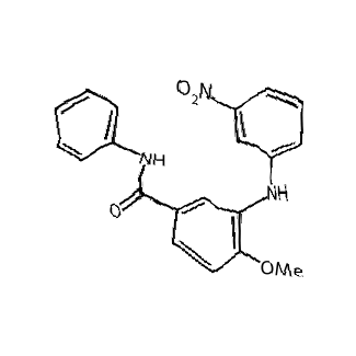 COc1ccc(C(=O)Nc2ccccc2)cc1Nc1cccc([N+](=O)[O-])c1